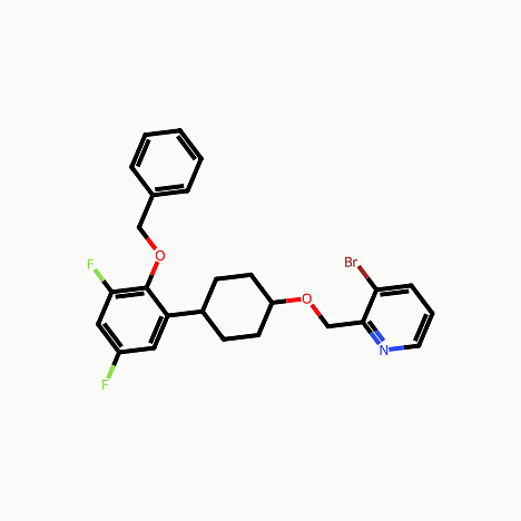 Fc1cc(F)c(OCc2ccccc2)c(C2CCC(OCc3ncccc3Br)CC2)c1